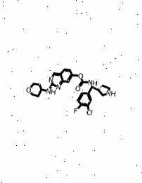 O=C(N[C@@H](c1ccc(F)c(Cl)c1)[C@@H]1CCNC1)Oc1ccc2cnc(NC3CCOCC3)nc2c1